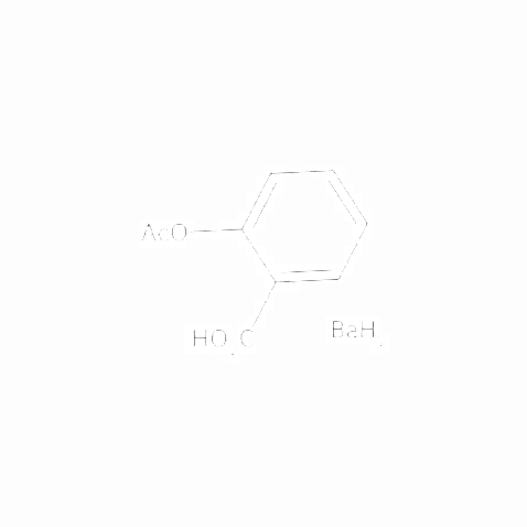 CC(=O)Oc1ccccc1C(=O)O.[BaH2]